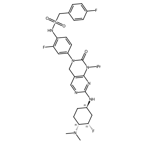 CC(C)N1C(=O)N(c2ccc(NS(=O)(=O)Cc3ccc(F)cc3)c(F)c2)Cc2cnc(N[C@@H]3CC[C@@H](N(C)C)[C@@H](F)C3)nc21